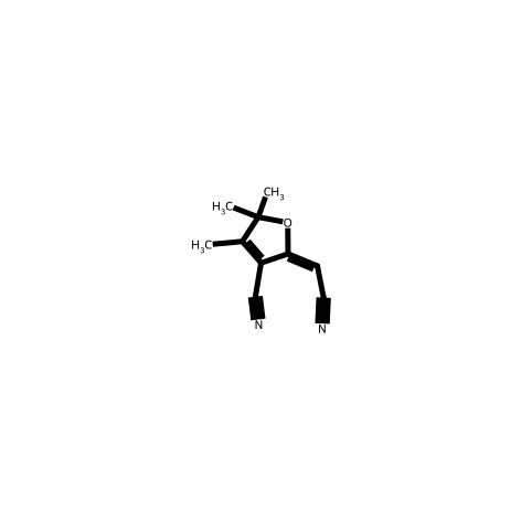 CC1=C(C#N)/C(=C\C#N)OC1(C)C